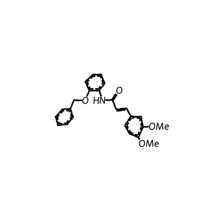 COc1ccc(/C=C/C(=O)Nc2ccccc2OCc2ccccc2)cc1OC